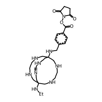 CCNC12CNCCNCC(NCc3ccc(C(=O)ON4C(=O)CCC4=O)cc3)(CNCCNC1)CNCCNC2